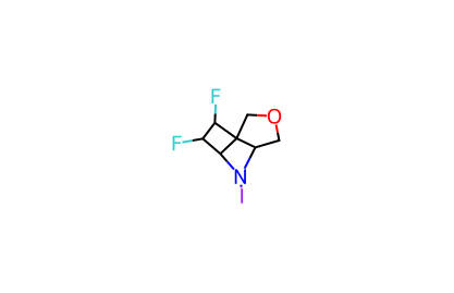 FC1C(F)C23COCC2N(I)C13